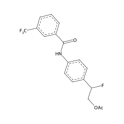 CC(=O)OCC(F)c1ccc(NC(=O)c2cccc(C(F)(F)F)c2)cc1